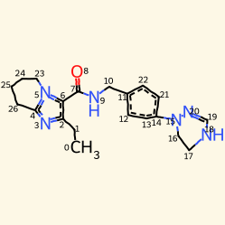 CCc1nc2n(c1C(=O)NCc1ccc(N3CCNC=N3)cc1)CCCC2